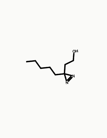 CCCCCC1(CCO)N=N1